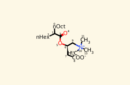 CCCCCCCCC(CCCCCC)C(=O)O[C@H](CC(=O)[O-])C[N+](C)(C)C